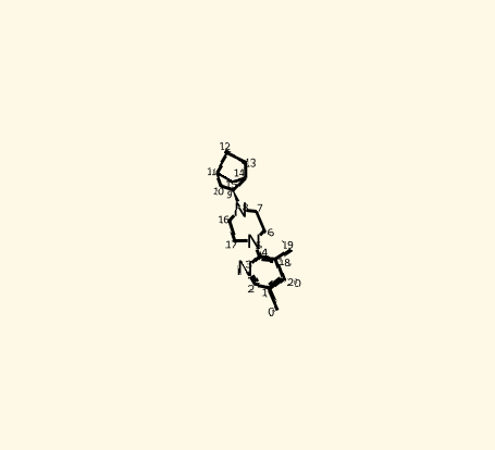 Cc1cnc(N2CCN([C@H]3CC4CCC3C4)CC2)c(C)c1